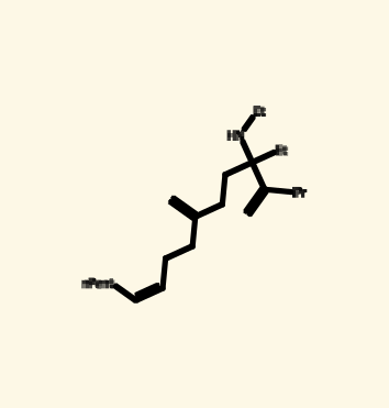 C=C(CC/C=C\CCCCC)CCC(CC)(NCC)C(=C)C(C)C